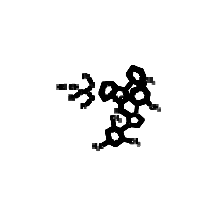 CC(C)OP(OC(C)C)OC(C)C.Cc1cc(C)c(N2CCN(c3c(C)cc(C)cc3C)[C]2=[Ru]=[C]2C=C(c3ccccc3)c3ccccc32)c(C)c1.Cl.Cl